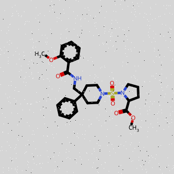 COC(=O)C1CCCN1S(=O)(=O)N1CCC(CNC(=O)c2ccccc2OC)(c2ccccc2)CC1